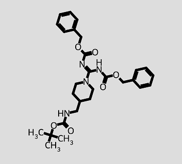 CC(C)(C)OC(=O)NCC1CCN(C(=NC(=O)OCc2ccccc2)NC(=O)OCc2ccccc2)CC1